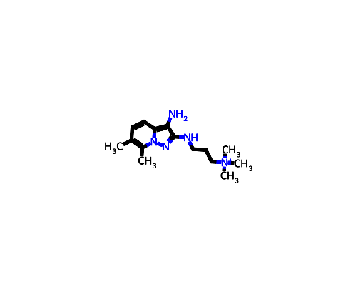 Cc1ccc2c(N)c(NCCC[N+](C)(C)C)nn2c1C